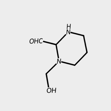 O=CC1NCCCN1CO